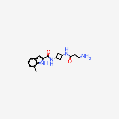 Cc1cccc2cc(C(=O)N[C@H]3C[C@@H](NC(=O)CCN)C3)[nH]c12